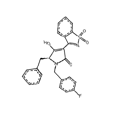 O=C1C(C2=NS(=O)(=O)c3ccccc32)=C(O)[C@H](Cc2ccccc2)N1Cc1ccc(F)cc1